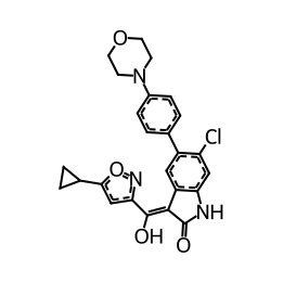 O=C1Nc2cc(Cl)c(-c3ccc(N4CCOCC4)cc3)cc2/C1=C(/O)c1cc(C2CC2)on1